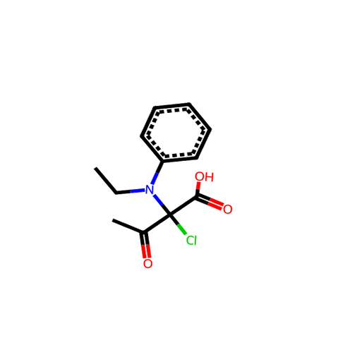 CCN(c1ccccc1)C(Cl)(C(C)=O)C(=O)O